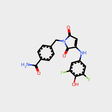 NC(=O)c1ccc(CN2C(=O)C=C(Nc3cc(F)c(O)c(F)c3)C2=O)cc1